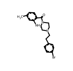 Cc1ccc(C(=O)N2CCN(CCc3ccc(Br)cc3)CC2)c(N)c1